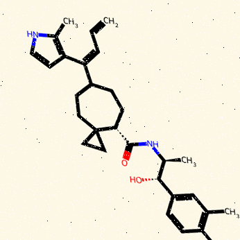 C=C/C=C(\c1cc[nH]c1C)C1CC[C@H](C(=O)N[C@@H](C)[C@@H](O)c2ccc(C)c(C)c2)C2(CC1)CC2